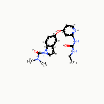 CCNC(=O)Nc1cc(Oc2ccc3c(ccn3C(=O)N(C)C)c2)ccn1